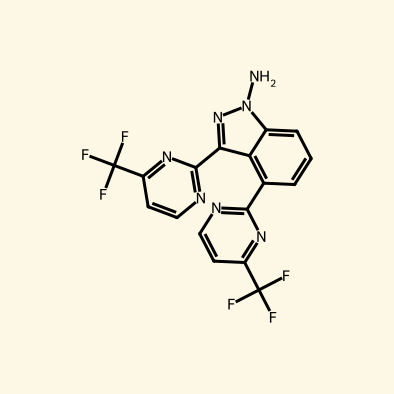 Nn1nc(-c2nccc(C(F)(F)F)n2)c2c(-c3nccc(C(F)(F)F)n3)cccc21